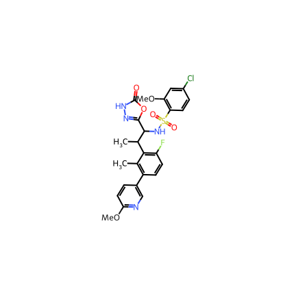 COc1ccc(-c2ccc(F)c(C(C)C(NS(=O)(=O)c3ccc(Cl)cc3OC)c3n[nH]c(=O)o3)c2C)cn1